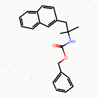 CC(C)(Cc1ccc2ccccc2c1)NC(=O)OCc1ccccc1